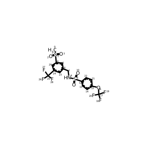 CS(=O)(=O)c1cc(CNS(=O)(=O)c2ccc(OC(F)(F)F)cc2)cc(C(F)(F)F)c1